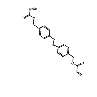 C=CC(=O)OCc1ccc(SSc2ccc(COC(=O)NC)cc2)cc1